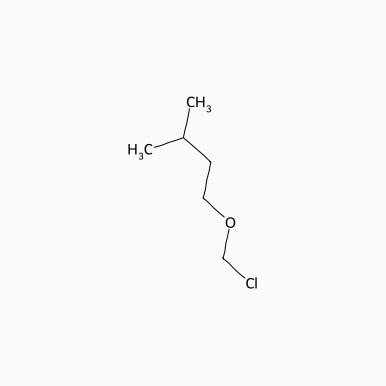 CC(C)CCOCCl